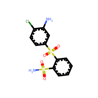 Nc1cc(S(=O)(=O)c2ccccc2S(N)(=O)=O)ccc1Cl